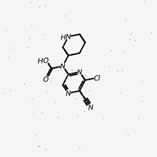 N#Cc1ncc(N(C(=O)O)C2CCCNC2)nc1Cl